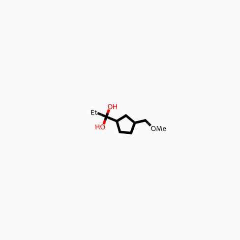 CCC(O)(O)C1CCC(COC)C1